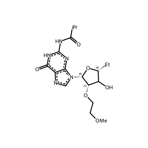 CC[C@H]1O[C@@H](n2cnc3c(=O)[nH]c(NC(=O)C(C)C)nc32)[C@@H](OCCOC)C1O